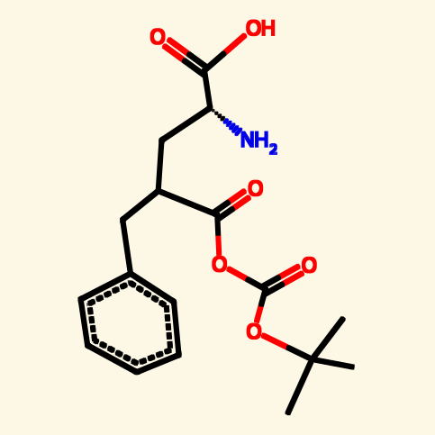 CC(C)(C)OC(=O)OC(=O)C(Cc1ccccc1)C[C@@H](N)C(=O)O